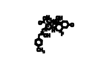 Cc1ccc(CN(O)C[C@@H]2CC3[C@@H]4C[C@H](F)C5=CC(=O)C=C[C@]5(C)[C@@]4(F)[C@@H](O)C[C@]3(C)[C@H]2C(=O)O)cc1